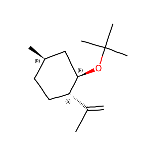 C=C(C)[C@@H]1CC[C@@H](C)C[C@H]1OC(C)(C)C